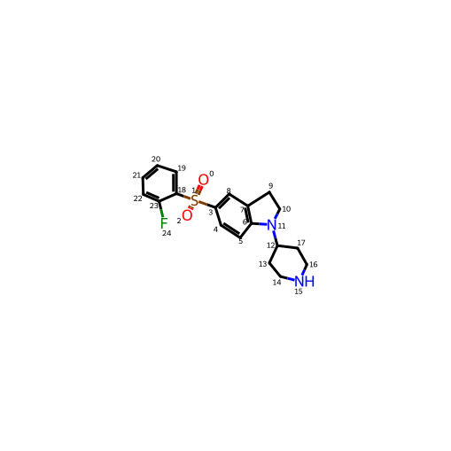 O=S(=O)(c1ccc2c(c1)CCN2C1CCNCC1)c1ccccc1F